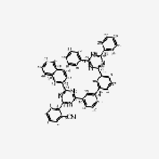 N#Cc1ccccc1-c1nc(-c2cccc(-c3cccc(-c4nc(-c5ccccc5)nc(-c5ccccc5)n4)c3)c2)nc(-c2ccc3ccccc3c2)n1